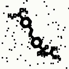 CN(C)c1ccc(/C=N/c2ccc(S(=O)(=O)NC(=N)N)cc2)cc1